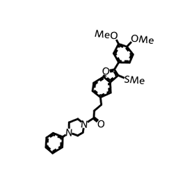 COc1ccc(-c2oc3ccc(CCC(=O)N4CCN(c5ccccc5)CC4)cc3c2SC)cc1OC